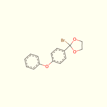 BrC1(c2ccc(Oc3ccccc3)cc2)OCCO1